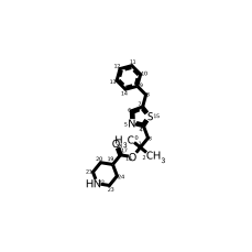 CC(C)(Cc1ncc(Cc2ccccc2)s1)OC(=O)C1CCNCC1